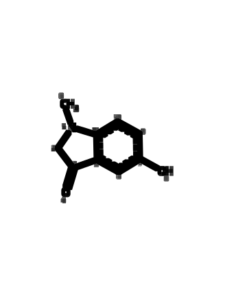 CN1CC(=O)c2cc(O)ccc21